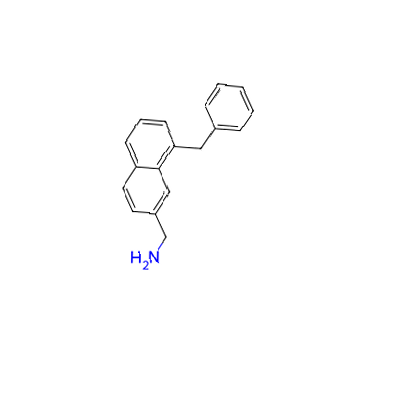 NCc1ccc2cccc(Cc3ccccc3)c2c1